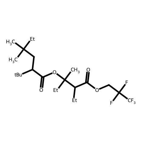 CCC(C(=O)OCC(F)(F)C(F)(F)F)C(C)(CC)OC(=O)C(CC(C)(C)CC)C(C)(C)C